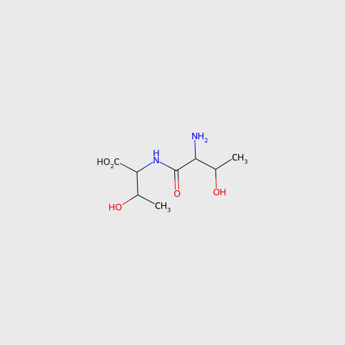 CC(O)C(N)C(=O)NC(C(=O)O)C(C)O